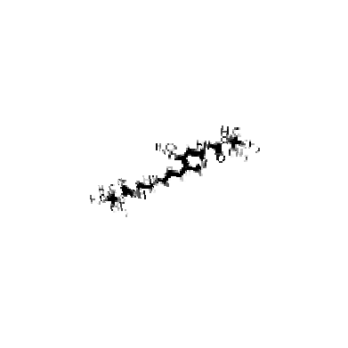 COc1cc(NC(=O)OC(C)(C)C)ncc1CCCNCCNC(=O)OC(C)(C)C